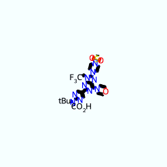 CC(C)(C)N(C(=O)O)c1ncc(-c2nc(N3CCOCC3)c3nc(N4CCN(S(C)(=O)=O)CC4)n(CC(F)(F)F)c3n2)cn1